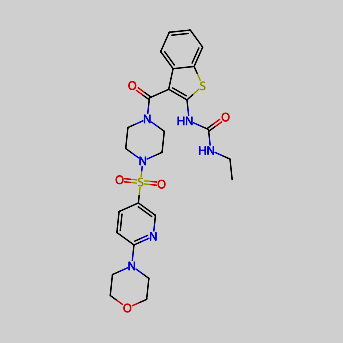 CCNC(=O)Nc1sc2ccccc2c1C(=O)N1CCN(S(=O)(=O)c2ccc(N3CCOCC3)nc2)CC1